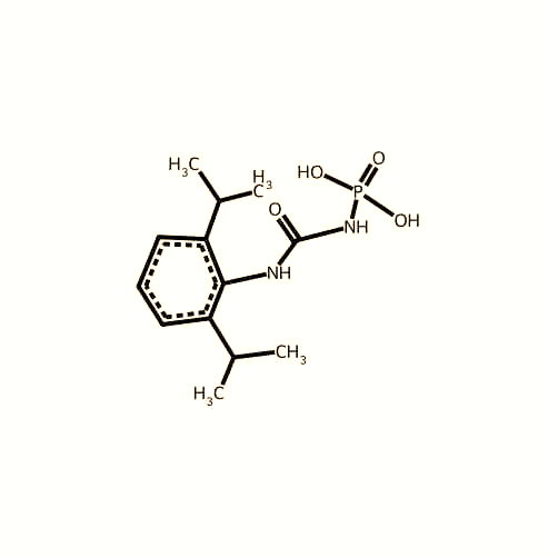 CC(C)c1cccc(C(C)C)c1NC(=O)NP(=O)(O)O